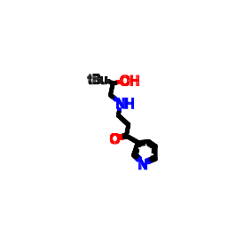 CC(C)(C)C(O)CNCCC(=O)c1cccnc1